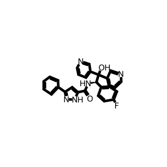 O=C(N[C@H](c1ccc(F)cc1)C(O)(c1cccnc1)c1cccnc1)c1cc(-c2ccccc2)n[nH]1